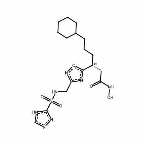 O=C(C[C@@H](CCCC1CCCCC1)c1nc(CNS(=O)(=O)c2nnc[nH]2)no1)NO